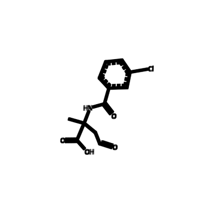 CC(CC=O)(NC(=O)c1cccc(Cl)c1)C(=O)O